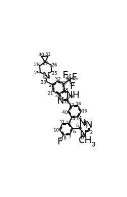 Cn1cnnc1-c1cc(F)ccc1-c1cccc(-c2nc3cc(CN4CCC5(CC4)CC5)cc(C(F)(F)F)c3[nH]2)c1